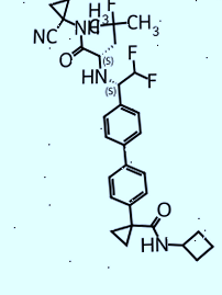 CC(C)(F)C[C@H](N[C@@H](c1ccc(-c2ccc(C3(C(=O)NC4CCC4)CC3)cc2)cc1)C(F)F)C(=O)NC1(C#N)CC1